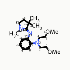 COCCN(CCOC)c1ccccc1N=C1N(C)CCC1(C)C